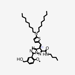 CCCCCCCCN(CCCCCCCC)c1ccc(/C=c2/c(C(=O)NCCCC)nn3c(-c4cc(CO)ccc4OC)nnc23)s1